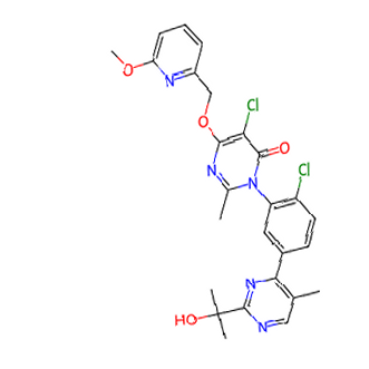 COc1cccc(COc2nc(C)n(-c3cc(-c4nc(C(C)(C)O)ncc4C)ccc3Cl)c(=O)c2Cl)n1